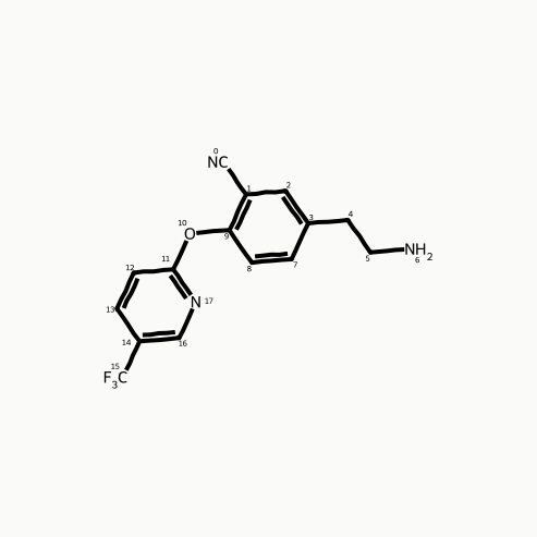 N#Cc1cc(CCN)ccc1Oc1ccc(C(F)(F)F)cn1